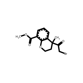 COC(=O)c1cccc2c1OCCC2(C)C(=O)CBr